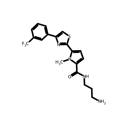 Cn1c(C(=O)NCCCN)ccc1-c1nc(-c2cccc(C(F)(F)F)c2)cs1